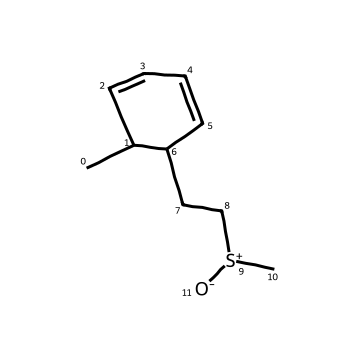 CC1C=CC=CC1CC[S+](C)[O-]